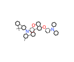 Cc1ccc(N(C2=CC=C3c4ccc(OC5C=CC=C(N(c6ccccc6)c6ccccc6)C5)c5cccc(c45)OC3C2)c2ccc3c(c2)C(C)(C)c2ccccc2-3)c(-c2ccccc2)c1